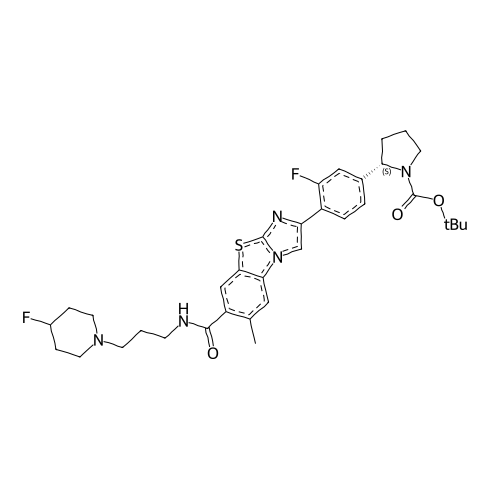 Cc1cc2c(cc1C(=O)NCCCN1CCC(F)CC1)sc1nc(-c3ccc([C@@H]4CCCN4C(=O)OC(C)(C)C)cc3F)cn12